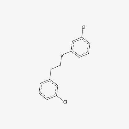 Clc1cccc(CCSc2cccc(Cl)c2)c1